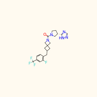 O=C(N1CC[C@H](c2ncn[nH]2)C1)N1CC2(CC(Cc3ccc(C(F)(F)F)cc3F)C2)C1